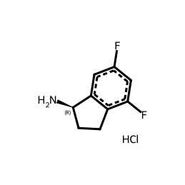 Cl.N[C@@H]1CCc2c(F)cc(F)cc21